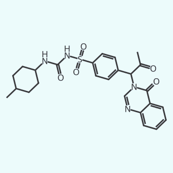 CC(=O)C(c1ccc(S(=O)(=O)NC(=O)NC2CCC(C)CC2)cc1)n1cnc2ccccc2c1=O